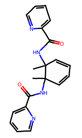 CC1(NC(=O)c2ccccn2)C=CC=CC1(C)NC(=O)c1ccccn1